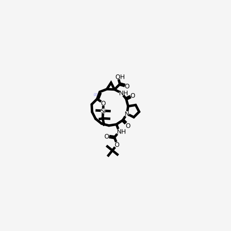 CC(C)(C)OC(=O)NC1CCCCC/C(O[Si](C)(C)C(C)(C)C)=C/C2CC2(C(=O)O)NC(=O)C2CCCN2C1=O